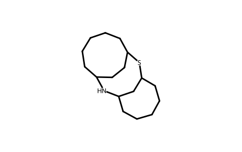 C1CCC2CCC(CC1)SC1CCCCCC(C1)N2